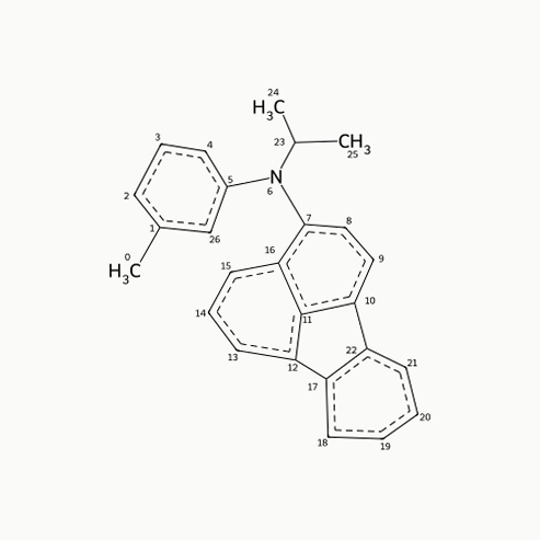 Cc1cccc(N(c2ccc3c4c(cccc24)-c2ccccc2-3)C(C)C)c1